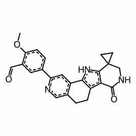 COc1ccc(-c2cc3c(cn2)CCc2c-3[nH]c3c2C(=O)NCC32CC2)cc1C=O